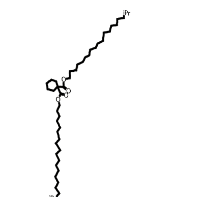 CC(C)CCCCCCCCCCCCCCCCCOC(=O)C1(C(=O)OCCCCCCCCCCCCCCCCCC(C)C)CCCCC1